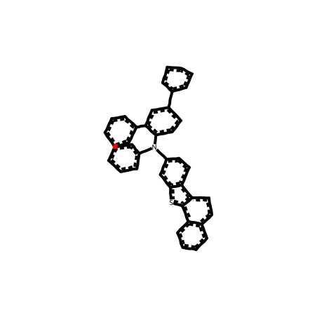 c1ccc(-c2ccc(N(c3ccccc3)c3ccc4c(c3)sc3c5ccccc5ccc43)c(-c3ccccc3)c2)cc1